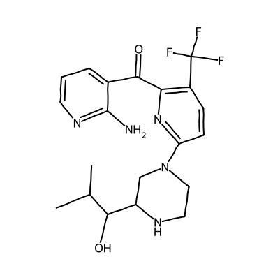 CC(C)C(O)C1CN(c2ccc(C(F)(F)F)c(C(=O)c3cccnc3N)n2)CCN1